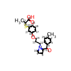 Cc1ccc(C(=O)c2cccn2CCCOc2cccc(SC(C)C(=O)O)c2)cc1